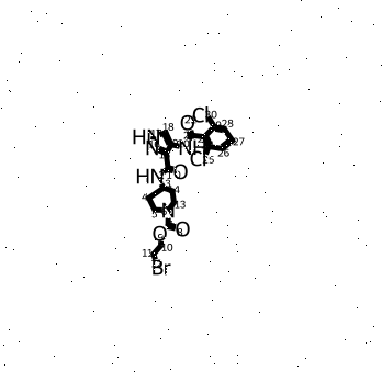 O=C(NC1CCN(C(=O)OCCBr)CC1)c1n[nH]cc1NC(=O)c1c(Cl)cccc1Cl